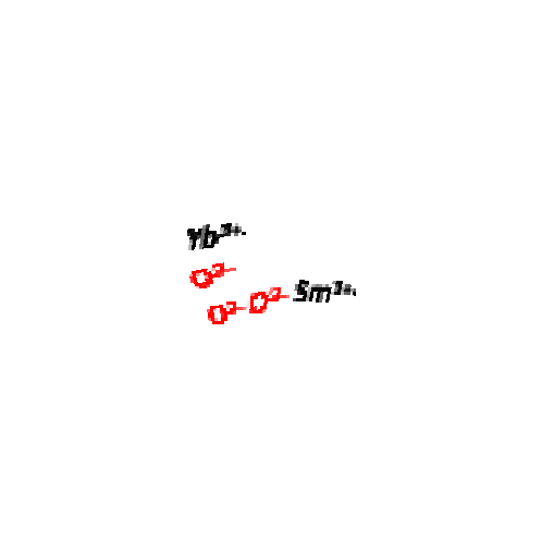 [O-2].[O-2].[O-2].[Sm+3].[Yb+3]